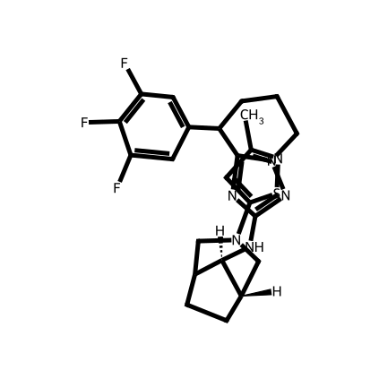 Cc1cc(N2CC3CC[C@@H](C2)[C@@H]3Nc2nc3n(n2)CCCC3c2cc(F)c(F)c(F)c2)sn1